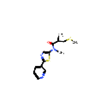 CSCC(C)C(=O)N(C)c1cnc(-c2cccnc2)s1